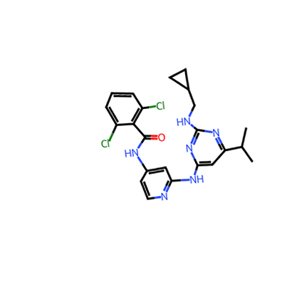 CC(C)c1cc(Nc2cc(NC(=O)c3c(Cl)cccc3Cl)ccn2)nc(NCC2CC2)n1